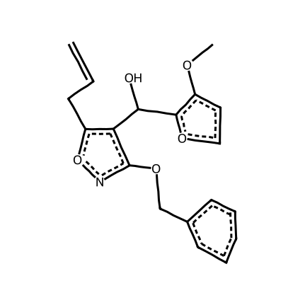 C=CCc1onc(OCc2ccccc2)c1C(O)c1occc1OC